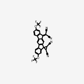 N#CC(C#N)=C1c2cc(OC(F)(F)F)ccc2-c2cc3c(cc21)C1(c2cc(OC(F)(F)F)ccc2-3)C(C#N)C1C#N